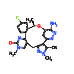 C[C@H]1Oc2cc(nnc2N)-c2c(nn(C)c2C#N)Cc2cn(C)c(=O)nc2-c2ccc(F)cc21